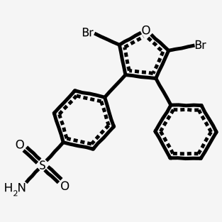 NS(=O)(=O)c1ccc(-c2c(Br)oc(Br)c2-c2ccccc2)cc1